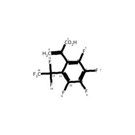 C=C(C(=O)O)c1c(F)c(F)c(F)c(F)c1C(F)(F)C(F)(F)F